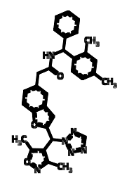 Cc1ccc(C(NC(=O)Cc2ccc3oc(C(c4c(C)noc4C)n4ncnn4)cc3c2)c2ccccc2)c(C)c1